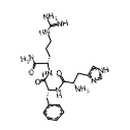 N=C(N)NCCC[C@H](NC(=O)[C@@H](Cc1ccccc1)NC(=O)[C@@H](N)Cc1c[nH]cn1)C(N)=O